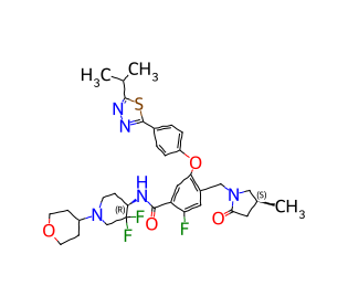 CC(C)c1nnc(-c2ccc(Oc3cc(C(=O)N[C@@H]4CCN(C5CCOCC5)CC4(F)F)c(F)cc3CN3C[C@@H](C)CC3=O)cc2)s1